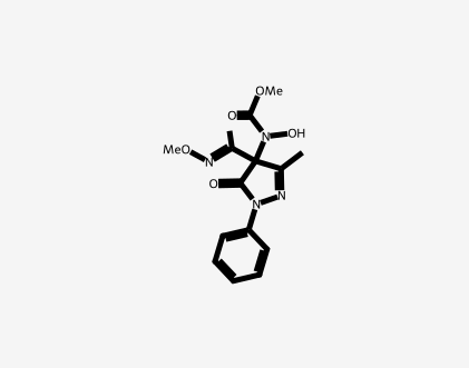 CO/N=C(\C)C1(N(O)C(=O)OC)C(=O)N(c2ccccc2)N=C1C